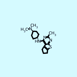 Cc1nc(N[C@H]2CC[C@H](N(C)C)CC2)c2c3c(sc2n1)CCC3